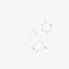 Cc1cc2c(c(=O)[nH]1)Nc1ccc(Cl)cc1C2(COC(C)C)C(F)(F)F